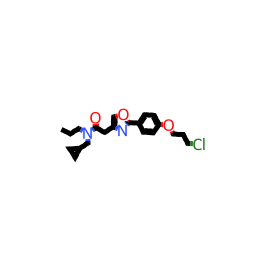 CCCN(CC1CC1)C(=O)Cc1coc(-c2ccc(OCCCCl)cc2)n1